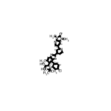 Cc1cc2nc(-c3ccnc(-c4cnc5c(c4)n(C)c(=O)n5C)c3)sc2c(-c2ccc(Cl)cc2)c1[C@H](OC(C)(C)C)C(=O)O